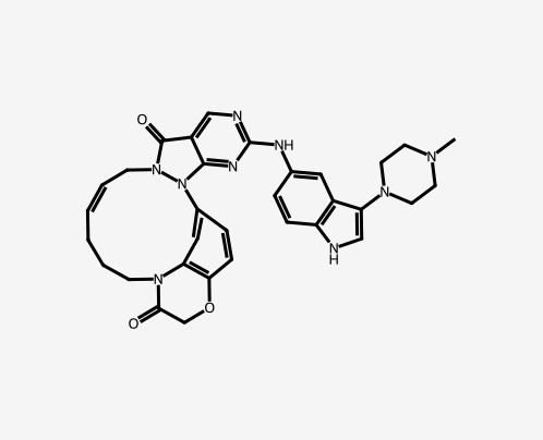 CN1CCN(c2c[nH]c3ccc(Nc4ncc5c(=O)n6n(c5n4)-c4ccc5c(c4)N(CCC/C=C\C6)C(=O)CO5)cc23)CC1